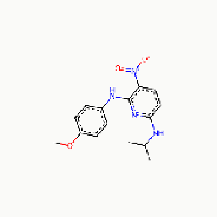 COc1ccc(Nc2nc(NC(C)C)ccc2[N+](=O)[O-])cc1